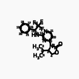 CC(C)C1COC(=O)N1c1ccnc(N[C@H](c2ccccc2)C(F)(F)F)n1